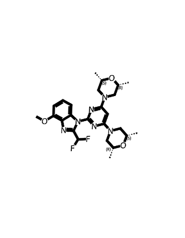 COc1cccc2c1nc(C(F)F)n2-c1nc(N2C[C@@H](C)O[C@@H](C)C2)cc(N2C[C@@H](C)O[C@@H](C)C2)n1